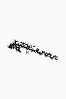 CC/C=C\C/C=C\C/C=C\C/C=C\C/C=C\C/C=C\CCC(=O)NCCCCC(NC(=O)C[C@H](O)C[C@H](O)/C=C/c1c(-c2ccc(F)cc2)nc(N(C)S(C)(=O)=O)nc1C(C)C)C(=O)O